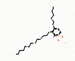 CCCCCCCCCCCCCc1c(CCCCCCC)ccc(S(=O)(=O)O)c1I